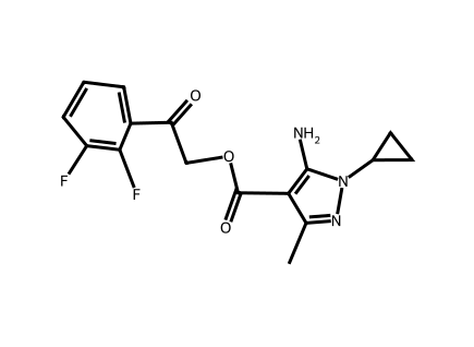 Cc1nn(C2CC2)c(N)c1C(=O)OCC(=O)c1cccc(F)c1F